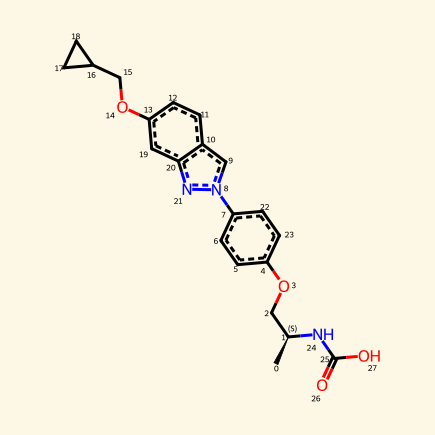 C[C@@H](COc1ccc(-n2cc3ccc(OCC4CC4)cc3n2)cc1)NC(=O)O